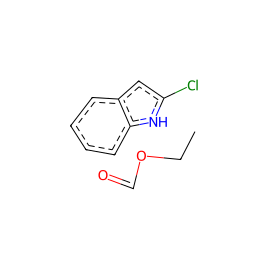 CCOC=O.Clc1cc2ccccc2[nH]1